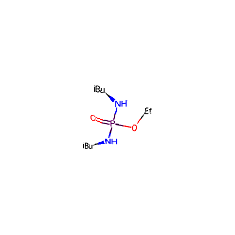 CCOP(=O)(N[C@H](C)CC)N[C@H](C)CC